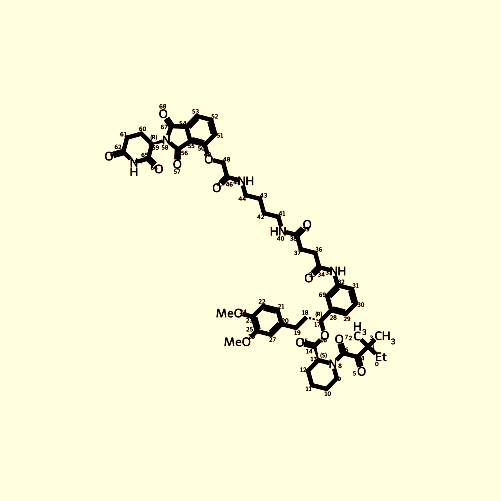 CCC(C)(C)C(=O)C(=O)N1CCCC[C@H]1C(=O)O[C@H](CCc1ccc(OC)c(OC)c1)c1cccc(NC(=O)CCC(=O)NCCCCNC(=O)COc2cccc3c2C(=O)N([C@@H]2CCC(=O)NC2=O)C3=O)c1